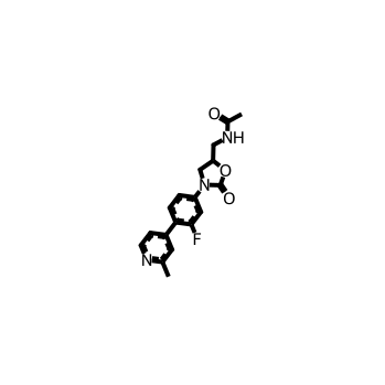 CC(=O)NCC1CN(c2ccc(-c3ccnc(C)c3)c(F)c2)C(=O)O1